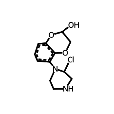 OC1COc2c(cccc2N2CCNCC2Cl)O1